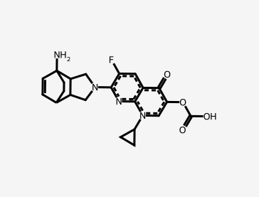 NC12C=CC(CC1)C1CN(c3nc4c(cc3F)c(=O)c(OC(=O)O)cn4C3CC3)CC12